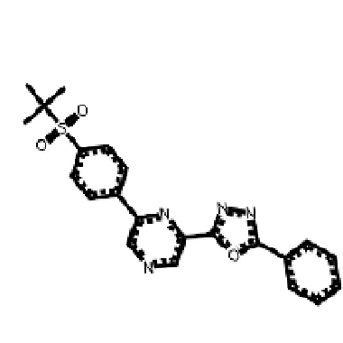 CC(C)(C)S(=O)(=O)c1ccc(-c2cncc(-c3nnc(-c4ccccc4)o3)n2)cc1